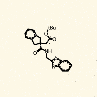 CC(C)(C)OC(=O)CC1(C(=O)NCc2nc3ccccc3s2)Cc2ccccc2C1